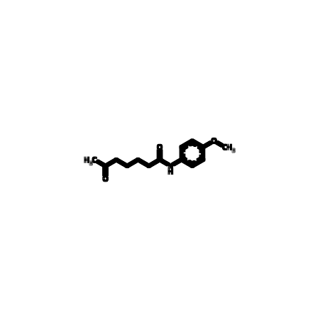 COc1ccc(NC(=O)CCCCC(C)=O)cc1